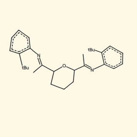 C/C(=N\c1ccccc1C(C)(C)C)C1CCCC(/C(C)=N/c2ccccc2C(C)(C)C)O1